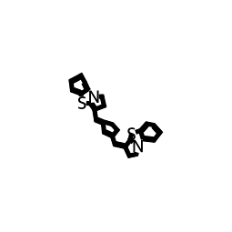 C1=C(C=C2CCN3c4ccccc4SC23)CCC1=CC1=C2Sc3ccccc3N2CC1